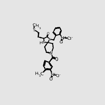 CSCCC1NC2(CCN(C(=O)c3ccc(C)c([N+](=O)[O-])c3)CC2)N(Cc2ccccc2[N+](=O)[O-])C1=O